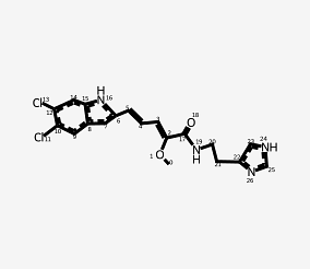 COC(=CC=Cc1cc2cc(Cl)c(Cl)cc2[nH]1)C(=O)NCCc1c[nH]cn1